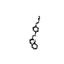 N#CC=Cc1ccc(OCc2ccc3ccccc3n2)cc1